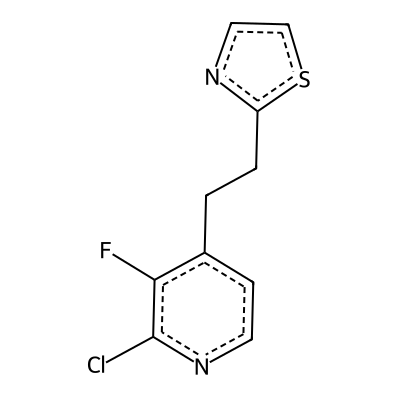 Fc1c(CCc2nccs2)ccnc1Cl